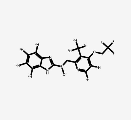 [2H]c1nc(C[S+]([O-])c2nc3c([2H])c([2H])c([2H])c([2H])c3[nH]2)c(C([2H])([2H])[2H])c(OCC(F)(F)F)c1[2H]